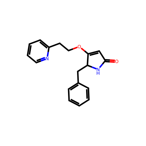 O=C1C=C(OCCc2ccccn2)C(Cc2ccccc2)N1